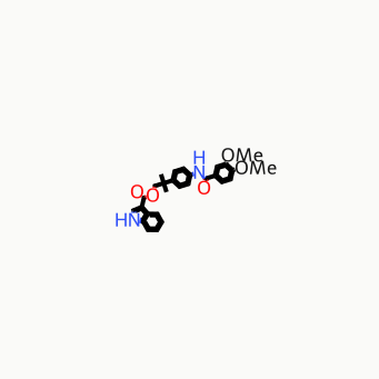 COc1ccc(C(=O)Nc2ccc(C(C)(C)COC(=O)c3c[nH]c4ccccc34)cc2)cc1OC